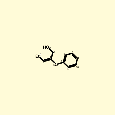 CCC=C(CO)Oc1ccccc1